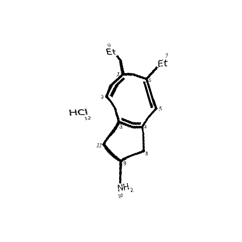 CCc1cc2c(cc1CC)CC(N)C2.Cl